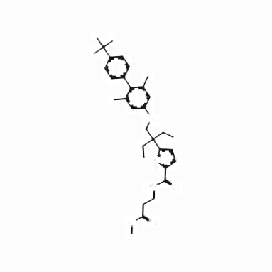 CCC(CC)(COc1cc(C)c(-c2ccc(C(C)(C)C)cc2)c(C)c1)c1ccc(C(=O)NCCC(=O)OC)s1